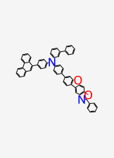 c1ccc(-c2cccc(N(c3ccc(-c4ccc5c(c4)oc4cc6oc(-c7ccccc7)nc6cc45)cc3)c3ccc(-c4cc5ccccc5c5ccccc45)cc3)c2)cc1